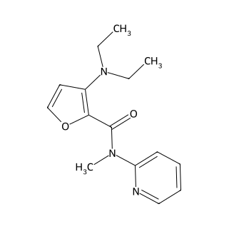 CCN(CC)c1ccoc1C(=O)N(C)c1ccccn1